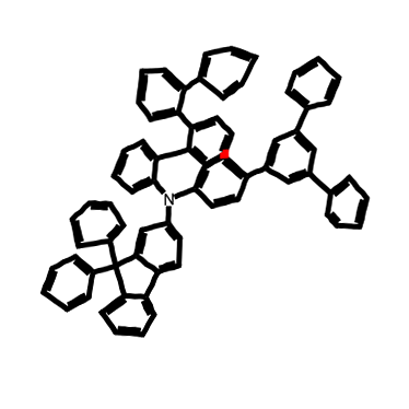 c1ccc(-c2cc(-c3ccccc3)cc(-c3ccc(N(c4ccc5c(c4)C(c4ccccc4)(c4ccccc4)c4ccccc4-5)c4ccccc4-c4ccccc4-c4ccccc4-c4ccccc4)cc3)c2)cc1